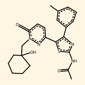 CC(=O)Nc1nc(-c2cccc(C)c2)c(-c2ccc(=O)n(CC3(O)CCCCC3)n2)s1